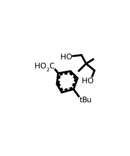 CC(C)(C)c1ccc(C(=O)O)cc1.CC(C)(CO)CO